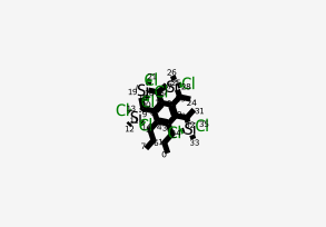 CCCc1c(CCC)c(C(C)[Si](C)(Cl)Cl)c(C(C)[Si](C)(Cl)Cl)c(C(C)[Si](C)(Cl)Cl)c1C(C)[Si](C)(Cl)Cl